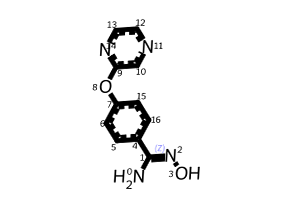 N/C(=N\O)c1ccc(Oc2cnccn2)cc1